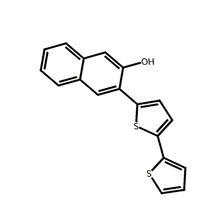 Oc1cc2ccccc2cc1-c1ccc(-c2cccs2)s1